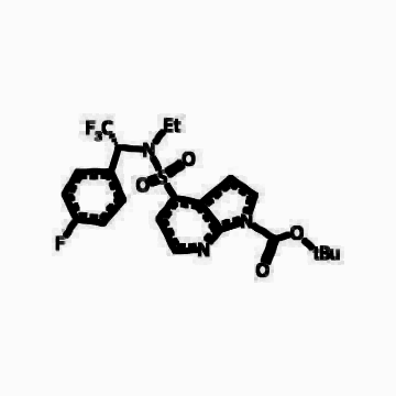 CCN([C@H](c1ccc(F)cc1)C(F)(F)F)S(=O)(=O)c1ccnc2c1ccn2C(=O)OC(C)(C)C